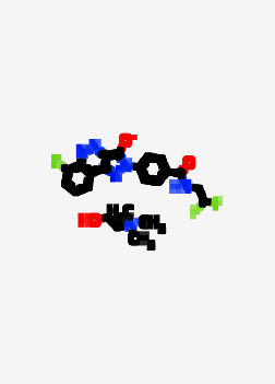 C[N+](C)(C)CCO.O=C(NCC(F)F)c1ccc(-n2nc3c(nnc4c(F)cccc43)c2[O-])cc1